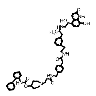 C[C@H](Cc1cccc(CCNC(=O)Cc2ccc(CNC(=O)CCN3CCC(OC(=O)Nc4ccccc4-c4ccccc4)CC3)cc2)c1)NC[C@H](O)c1ccc(O)c2[nH]c(=O)ccc12